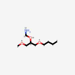 CCCCOCC(COC)OCN